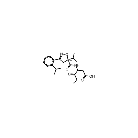 CC(C)c1ccccc1C1=NO[C@@](C(=O)NC(CC(=O)O)C(=O)CF)(C(C)C)C1